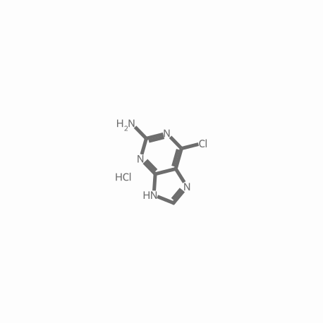 Cl.Nc1nc(Cl)c2nc[nH]c2n1